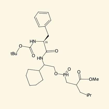 COC(=O)C(CC(C)C)C[PH](=O)OCC(NC(=O)[C@H](Cc1ccccc1)NC(=O)OC(C)(C)C)C1CCCCC1